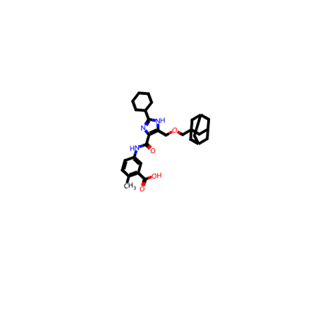 Cc1ccc(NC(=O)c2nc(C3CCCCC3)[nH]c2COCC23CC4CC(CC(C4)C2)C3)cc1C(=O)O